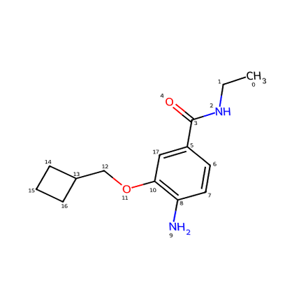 CCNC(=O)c1ccc(N)c(OCC2CCC2)c1